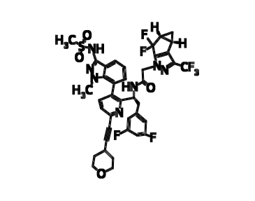 Cn1nc(NS(C)(=O)=O)c2cccc(-c3ccc(C#CC4CCOCC4)nc3[C@H](Cc3cc(F)cc(F)c3)NC(=O)Cn3nc(C(F)(F)F)c4c3C(F)(F)[C@@H]3C[C@H]43)c21